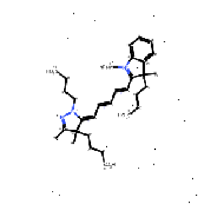 CCCCC[N+]1=C(/C=C/C=C/C=C2\N(CCCS(=O)(=O)O)N=C(C)C2(C)CCCS(=O)(=O)O)C(C)(CCCS(=O)(=O)O)c2ccccc21